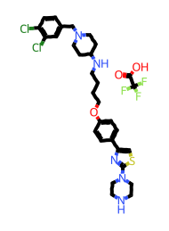 Clc1ccc(CN2CCC(NCCCCOc3ccc(-c4csc(N5CCNCC5)n4)cc3)CC2)cc1Cl.O=C(O)C(F)(F)F